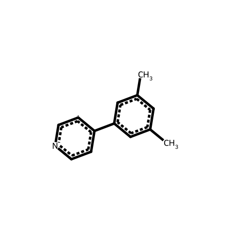 Cc1cc(C)cc(-c2[c]cncc2)c1